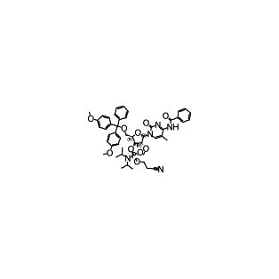 COc1ccc(C(OC[C@H]2O[C@@H](n3cc(C)c(NC(=O)c4ccccc4)nc3=O)[C@H](OC)[C@@H]2OP(=O)(OCCC#N)N(C(C)C)C(C)C)(c2ccccc2)c2ccc(OC)cc2)cc1